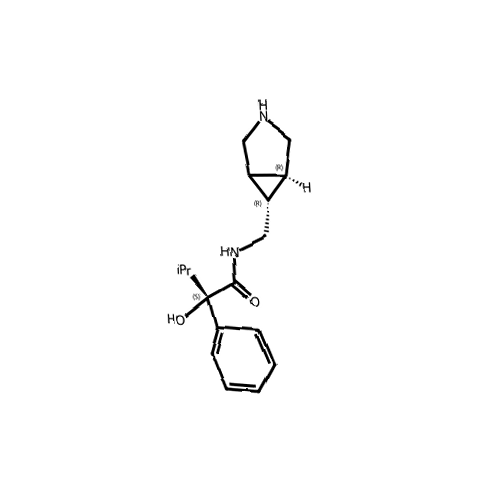 CC(C)[C@@](O)(C(=O)NC[C@@H]1C2CNC[C@H]21)c1ccccc1